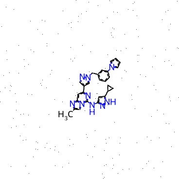 Cc1cn2c(Nc3cc(C4CC4)[nH]n3)nc(-c3cnn(Cc4cccc(-n5cccc5)c4)c3)cc2n1